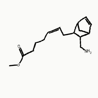 COC(=O)CCC/C=C\CC1C2C=CC(C2)C1CN